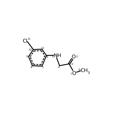 COC(=O)CNc1cccc(Cl)c1